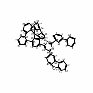 c1ccc(-c2cccc(-c3nc(-c4ccc5c(c4)C4(c6ccccc6-c6ccccc6-5)c5ccccc5-c5ccccc54)cc(-c4ccc5oc6ccccc6c5c4)n3)c2)cc1